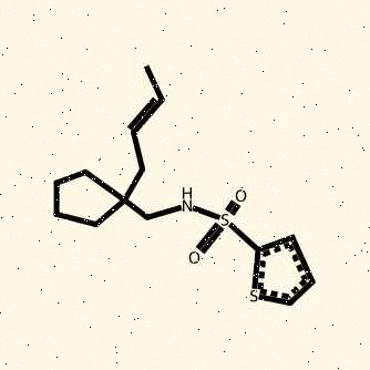 CC=CCC1(CNS(=O)(=O)c2cccs2)CCCC1